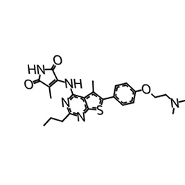 CCCc1nc(NC2=C(C)C(=O)NC2=O)c2c(C)c(-c3ccc(OCCN(C)C)cc3)sc2n1